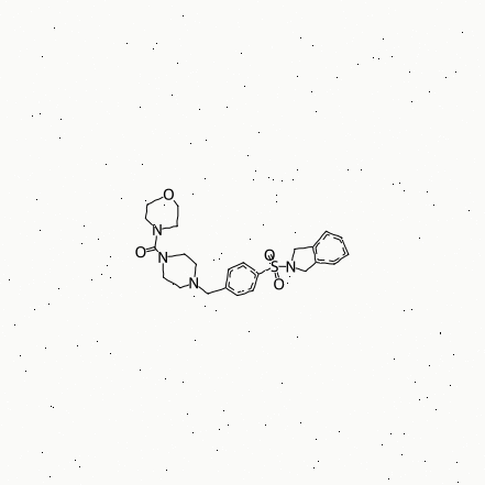 O=C(N1CCOCC1)N1CCN(Cc2ccc(S(=O)(=O)N3Cc4ccccc4C3)cc2)CC1